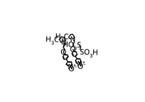 CC1CCCN(CCCOc2ccc(-c3cc[n+]([O-])cc3)cc2)C1.CC1CCCN(CCCOc2ccc(-c3cc[n+]([O-])cc3)cc2)C1.O=S(=O)(O)CCS(=O)(=O)O